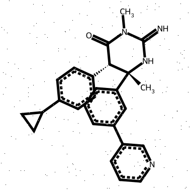 CN1C(=N)N[C@](C)(c2cccc(-c3cccnc3)c2)[C@H](c2ccc(C3CC3)cc2)C1=O